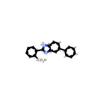 O=C(O)c1ccccc1-c1nc2cc(-c3ccccc3)ccc2[nH]1